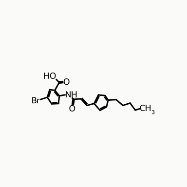 CCCCCc1ccc(C=CC(=O)Nc2ccc(Br)cc2C(=O)O)cc1